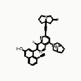 C#Cc1cccc2cc(O)cc(-c3ncc4c(N5CC6CCC(C5)N6)cc(C#CC56CCCN5CC(F)C6)nc4c3F)c12